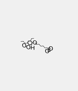 CCC(=O)c1cc(CC)c(OCCCCCCS(C)(=O)=O)cc1O